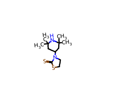 CC1(C)CC(N2CCSC2=S)CC(C)(C)N1